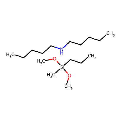 CCCCCNCCCCC.CCC[Si](C)(OC)OC